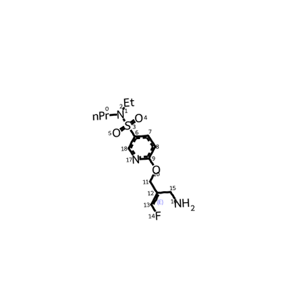 CCCN(CC)S(=O)(=O)c1ccc(OC/C(=C/F)CN)nc1